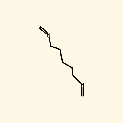 C=NCCCCCN=C